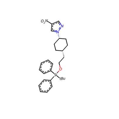 CC(C)(C)[Si](OCC[C@H]1CC[C@@H](n2cc([N+](=O)[O-])cn2)CC1)(c1ccccc1)c1ccccc1